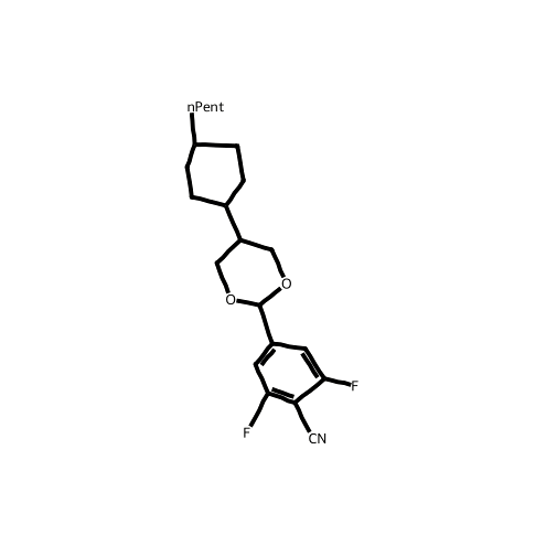 CCCCCC1CCC(C2COC(c3cc(F)c(C#N)c(F)c3)OC2)CC1